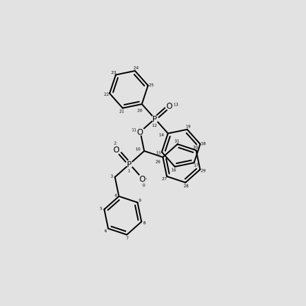 [O]P(=O)(Cc1ccccc1)C(OP(=O)(c1ccccc1)c1ccccc1)c1ccccc1